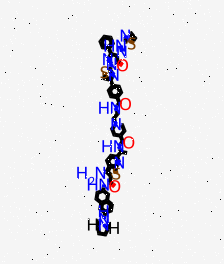 CC(NC(=O)C1CCN(CCNC(=O)c2ccc(-c3csc(N4N=C(c5ccccc5)/C(=N\Nc5nccs5)C4=O)n3)cc2)CC1)c1ccc2c(N)c(C(=O)NC3CCc4cc(N5C[C@H]6CC[C@@H](C5)N6)ccc4C3)sc2n1